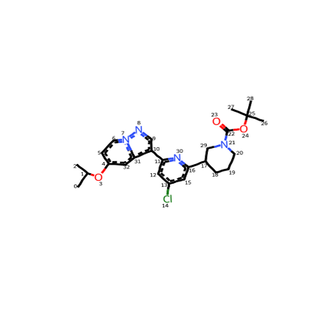 CC(C)Oc1ccn2ncc(-c3cc(Cl)cc(C4CCCN(C(=O)OC(C)(C)C)C4)n3)c2c1